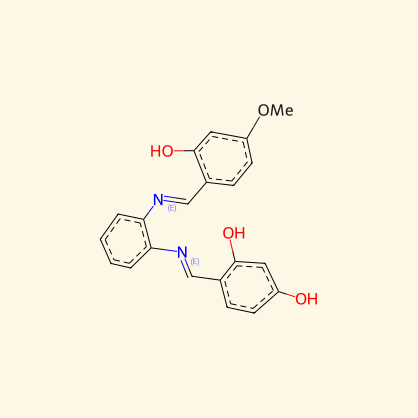 COc1ccc(/C=N/c2ccccc2/N=C/c2ccc(O)cc2O)c(O)c1